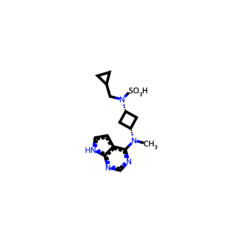 CN(c1ncnc2[nH]ccc12)[C@H]1C[C@@H](N(CC2CC2)S(=O)(=O)O)C1